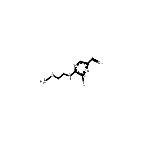 COCCNc1ncc(C=O)cc1I